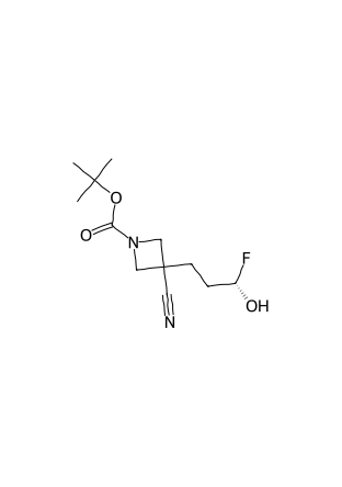 CC(C)(C)OC(=O)N1CC(C#N)(CC[C@@H](O)F)C1